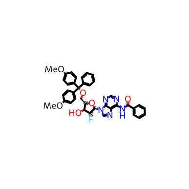 COc1ccc(C(OC[C@H]2O[C@@H](n3cnc4c(NC(=O)c5ccccc5)ncnc43)[C@@H](F)C2O)(c2ccccc2)c2ccc(OC)cc2)cc1